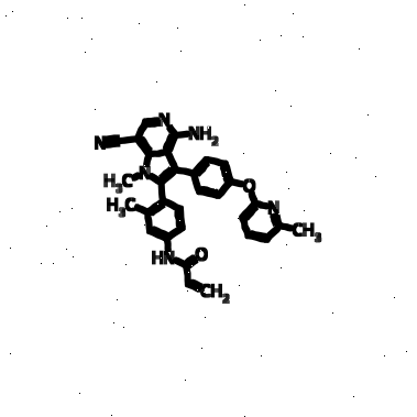 C=CC(=O)Nc1ccc(-c2c(-c3ccc(Oc4cccc(C)n4)cc3)c3c(N)ncc(C#N)c3n2C)c(C)c1